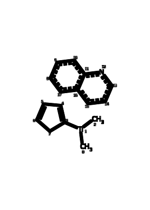 [CH3][Ti]([CH3])[C]1=CC=CC1.c1ccc2ncccc2c1